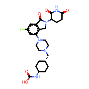 O=C1CCC(N2Cc3c(cc(F)cc3N3CCN(C[C@H]4CC[C@H](NC(=O)O)CC4)CC3)C2=O)C(=O)N1